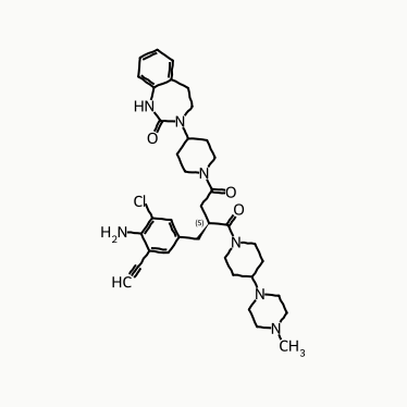 C#Cc1cc(C[C@@H](CC(=O)N2CCC(N3CCc4ccccc4NC3=O)CC2)C(=O)N2CCC(N3CCN(C)CC3)CC2)cc(Cl)c1N